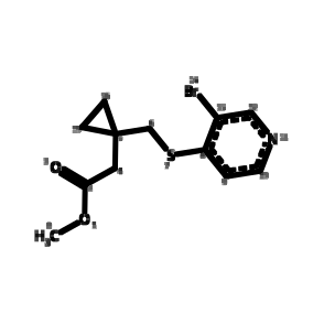 COC(=O)CC1(CSc2ccncc2Br)CC1